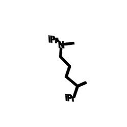 CC(C)C(C)CCCN(C)C(C)C